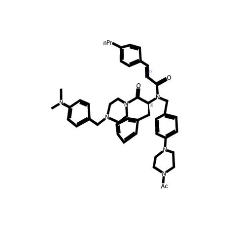 CCCc1ccc(/C=C/C(=O)N(Cc2ccc(N3CCN(C(C)=O)CC3)cc2)[C@@H](Cc2ccccc2)C(=O)N2CCN(Cc3ccc(N(C)C)cc3)CC2)cc1